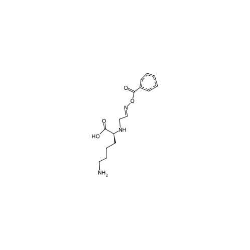 NCCCC[C@H](NCC=NOC(=O)c1ccccc1)C(=O)O